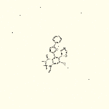 C=CN1c2cc(OC)c(-c3cnco3)c(-c3ccc(-c4ccccc4)o3)c2C(=O)N(C)C1(C)F